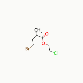 C=C(CCBr)C(=O)OCCCl